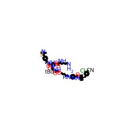 Cc1ncsc1-c1ccc([C@H](C)NC(=O)[C@@H]2CC(OC(=O)[C@@H](N)CCCCN)CN2C(=O)[C@@H](NC(=O)COCCCCCNc2ccc(C(=O)N[C@H]3C(C)(C)[C@H](Cc4ccc(C#N)c(Cl)c4)C3(C)C)cc2)C(C)(C)C)cc1